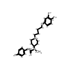 CN(C(=S)Nc1ccc(F)cc1)C1CCN(CCCCOc2ccc(F)c(F)c2)CC1